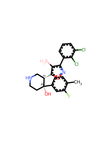 Bc1c(-c2cccc(Cl)c2Cl)noc1[C@H]1CNCC[C@]1(O)c1ccc(C)c(F)c1